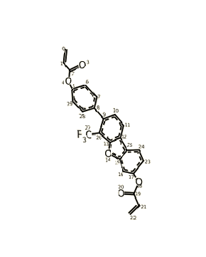 C=CC(=O)Oc1ccc(-c2ccc3c(oc4cc(OC(=O)C=C)ccc43)c2C(F)(F)F)cc1